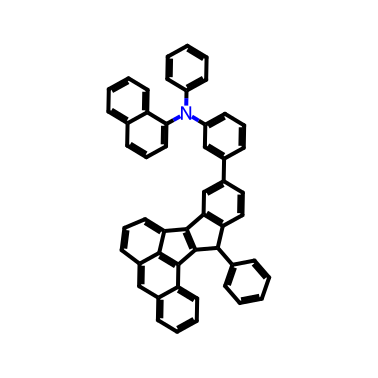 c1ccc(C2C3=C(c4cc(-c5cccc(N(c6ccccc6)c6cccc7ccccc67)c5)ccc42)c2cccc4cc5ccccc5c3c24)cc1